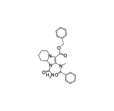 CN(C(=O)c1ccccc1)C1=C(C(=O)OCc2ccccc2)N2CCCCC2N1C(N)=O